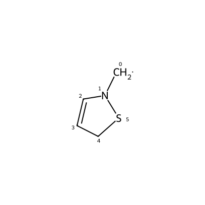 [CH2]N1C=CCS1